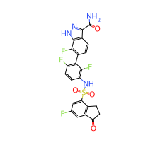 NC(=O)c1n[nH]c2c(F)c(-c3c(F)ccc(NS(=O)(=O)c4cc(F)cc5c4CCC5=O)c3F)ccc12